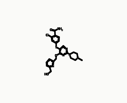 CN1CCN(c2ncc(Sc3ccc(C(N)=O)c(Cl)c3)c(OCc3cccc(CO)n3)n2)CC1